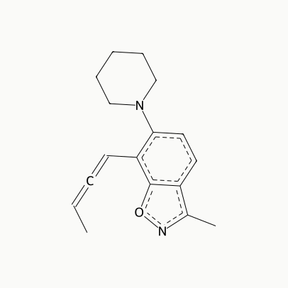 CC=C=Cc1c(N2CCCCC2)ccc2c(C)noc12